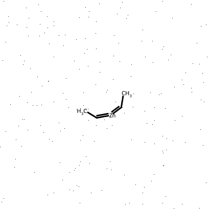 C[CH]=[Zn]=[CH]C